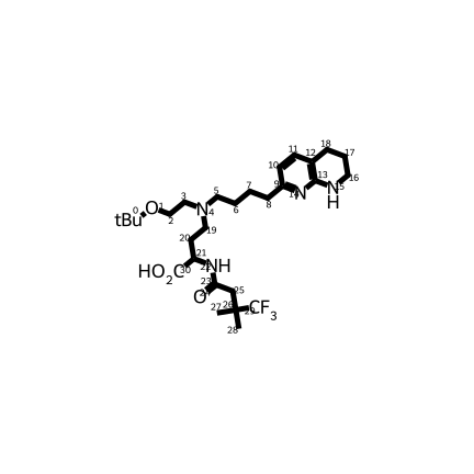 CC(C)(C)OCCN(CCCCc1ccc2c(n1)NCCC2)CCC(NC(=O)CC(C)(C)C(F)(F)F)C(=O)O